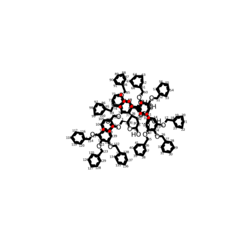 O=C(OC[C@@H]1OC(O)[C@@H](c2c(C(=O)O)cc(OCc3ccccc3)c(OCc3ccccc3)c2OCc2ccccc2)[C@@H](c2c(C(=O)O)cc(OCc3ccccc3)c(OCc3ccccc3)c2OCc2ccccc2)[C@@H]1c1c(C(=O)O)cc(OCc2ccccc2)c(OCc2ccccc2)c1OCc1ccccc1)c1cc(OCc2ccccc2)c(OCc2ccccc2)c(OCc2ccccc2)c1